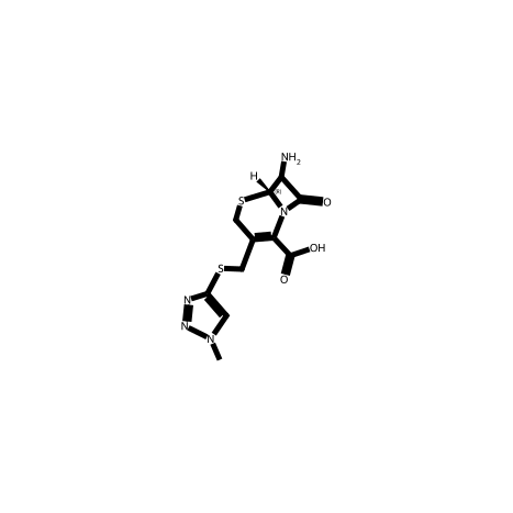 Cn1cc(SCC2=C(C(=O)O)N3C(=O)C(N)[C@H]3SC2)nn1